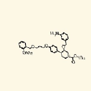 COc1ccccc1COCCCOc1ccc(C2CCN(C(=O)OC(C)(C)C)CC2OCc2cccc(N)c2)cc1